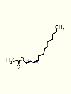 CCCCCCCCC/C=C\C=C\OC(C)=O